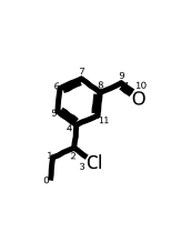 CCC(Cl)c1cccc([C]=O)c1